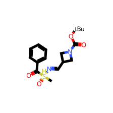 CC(C)(C)OC(=O)N1CC(C=N[SH](C)(=O)C(=O)c2ccccc2)C1